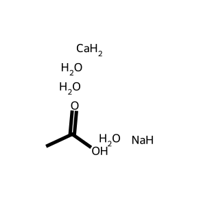 CC(=O)O.O.O.O.[CaH2].[NaH]